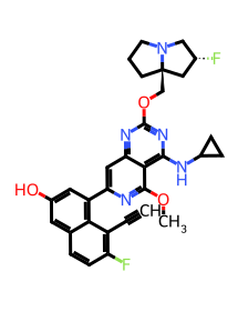 C#Cc1c(F)ccc2cc(O)cc(-c3cc4nc(OC[C@@]56CCCN5C[C@H](F)C6)nc(NC5CC5)c4c(OC)n3)c12